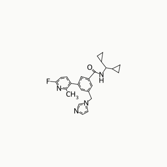 Cc1nc(F)ccc1-c1cc(Cn2ccnc2)cc(C(=O)NC(C2CC2)C2CC2)c1